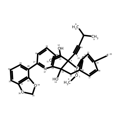 CO[PH](=O)C(C#CC(C)C)(C(=O)O)C(O)(Cc1ccc(F)cc1)c1cccc(-c2cccc3c2OCO3)n1